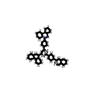 C(=C\c1ccccc1-c1ccccc1)/c1ccc(-c2cc(-c3cc4ccccc4c4ccccc34)nc(-c3ccc(-c4cc5ccccc5cn4)cc3)n2)cc1